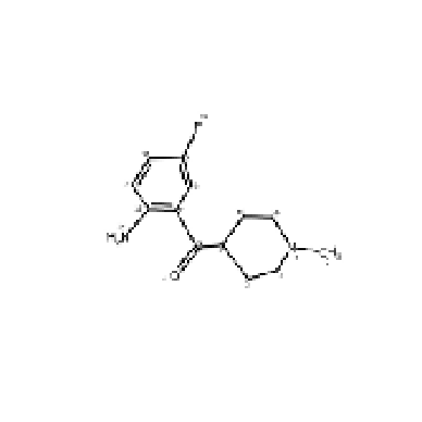 CN1CCC(C(=O)c2cc(F)ccc2N)CC1